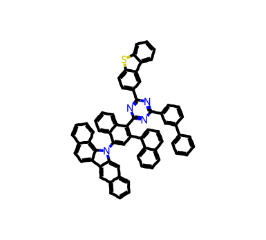 c1ccc(-c2cccc(-c3nc(-c4ccc5sc6ccccc6c5c4)nc(-c4c(-c5cccc6ccccc56)cc(-n5c6cc7ccccc7cc6c6ccc7ccccc7c65)c5ccccc45)n3)c2)cc1